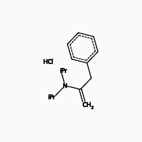 C=C(Cc1ccccc1)N(C(C)C)C(C)C.Cl